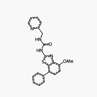 COc1ccc(-c2ccccc2)c2sc(NC(=O)NCc3ccccn3)nc12